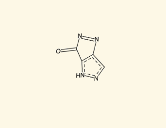 O=C1N=Nc2cn[nH]c21